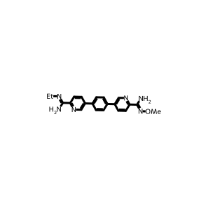 CC/N=C(\N)c1ccc(-c2ccc(-c3ccc(/C(N)=N/OC)nc3)cc2)cn1